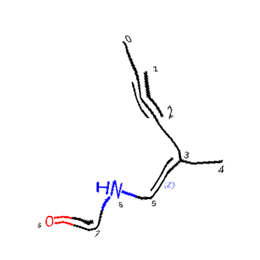 CC#C/C(C)=C\NC=O